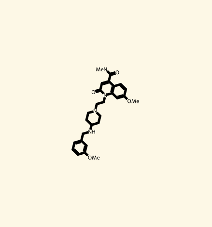 CNC(=O)c1cc(=O)n(CCN2CCC(NCc3cccc(OC)c3)CC2)c2cc(OC)ccc12